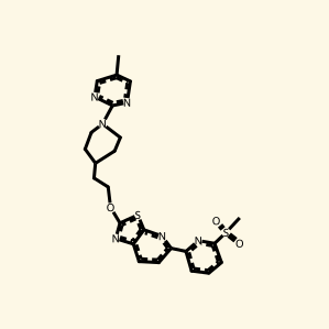 Cc1cnc(N2CCC(CCOc3nc4ccc(-c5cccc(S(C)(=O)=O)n5)nc4s3)CC2)nc1